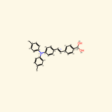 Cc1ccc(N(c2ccc(C)cc2)c2ccc(/C=C/c3ccc(B(O)O)cc3)cc2)cc1